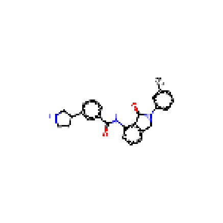 O=C(Nc1cccc2c1C(=O)N(c1cccc(C(F)(F)F)c1)C2)c1cccc(C2CCNC2)c1